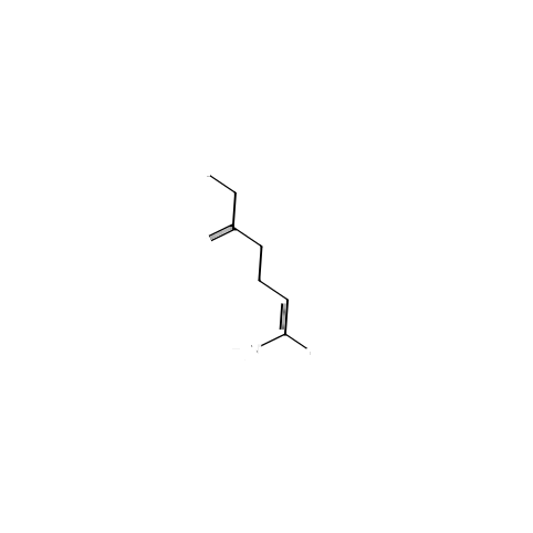 CC(N)=CCCC(=O)CCl